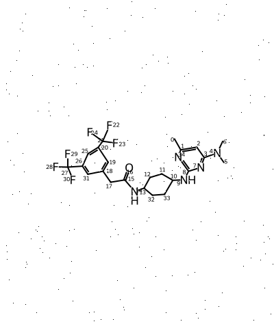 Cc1cc(N(C)C)nc(NC2CCC(NC(=O)Cc3cc(C(F)(F)F)cc(C(F)(F)F)c3)CC2)n1